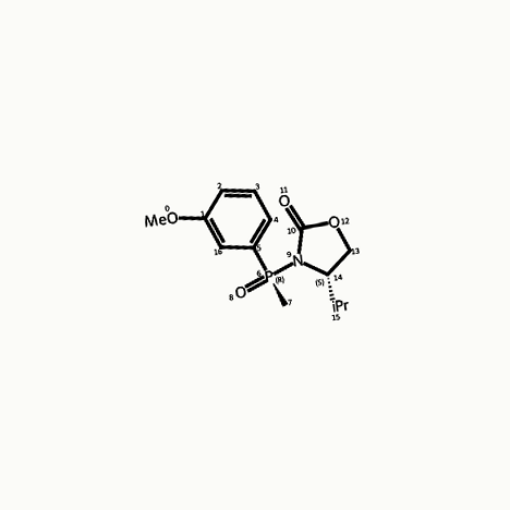 COc1cccc([P@@](C)(=O)N2C(=O)OC[C@@H]2C(C)C)c1